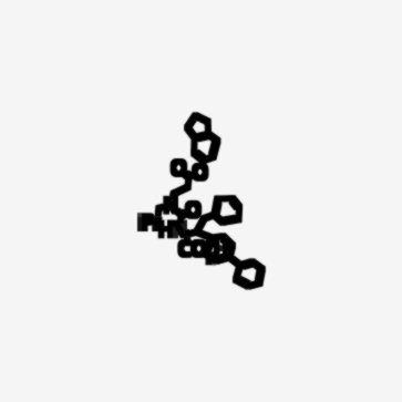 CC(C)CN(CCC(=O)Oc1ccc2c(c1)CCC2)C(=O)N[C@H](C(=O)O)C(Cc1ccccc1)c1ccc(-c2ccccc2)cc1